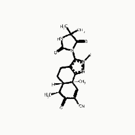 C[C@@H]1C(=O)C(C#N)=C[C@]2(C)c3nn(I)c(N4C(=O)NC(C)(C)C4=O)c3CC[C@@H]12